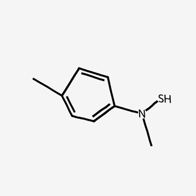 Cc1ccc(N(C)S)cc1